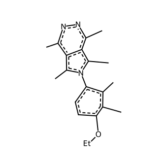 CCOc1ccc(-n2c(C)c3c(C)nnc(C)c3c2C)c(C)c1C